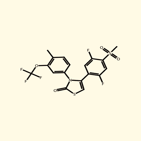 Cc1ccc(-n2c(-c3cc(F)c(S(C)(=O)=O)cc3F)csc2=O)cc1OC(F)(F)F